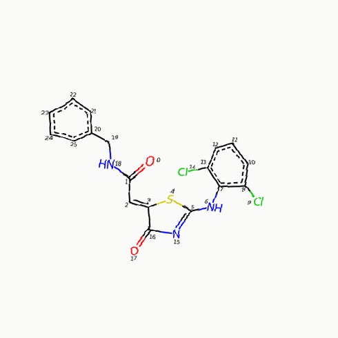 O=C(/C=C1\SC(Nc2c(Cl)cccc2Cl)=NC1=O)NCc1ccccc1